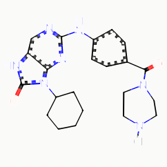 CN1CCN(C(=O)c2ccc(Nc3ncc4[nH]c(=O)n(C5CCCCC5)c4n3)cc2)CC1